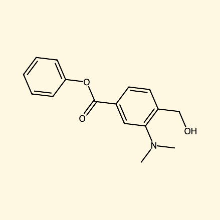 CN(C)c1cc(C(=O)Oc2ccccc2)ccc1CO